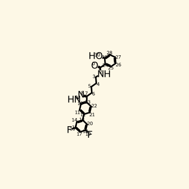 O=C(NCCCCc1n[nH]c2cc(-c3cc(F)cc(F)c3)ccc12)c1ccccc1O